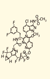 Cn1nc(NS(C)(=O)=O)c2c(Cl)ccc(-n3c([C@H](Cc4cc(F)cc(F)c4)NC(=O)Cn4nc(C(F)F)c5c4C(F)(F)[C@@H]4C[C@H]54)nc4nc(OS(=O)(=O)C(F)(F)F)ccc4c3=O)c21